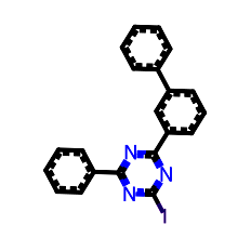 Ic1nc(-c2ccccc2)nc(-c2cccc(-c3ccccc3)c2)n1